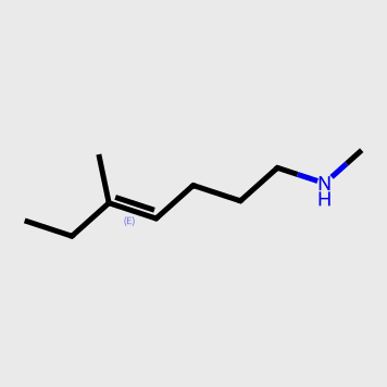 CC/C(C)=C/CCCNC